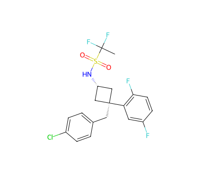 CC(F)(F)S(=O)(=O)N[C@H]1C[C@](Cc2ccc(Cl)cc2)(c2cc(F)ccc2F)C1